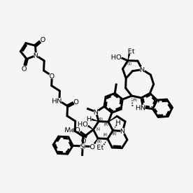 CC[C@]1(O)CC2CN(CCc3c([nH]c4ccccc34)[C@@](C)(c3cc4c(cc3C)N(C)[C@H]3[C@@](O)(C(=O)OC)[C@H](O[Si](C)(CCCCC(=O)NCCOCCN5C(=O)C=CC5=O)c5ccccc5)[C@]5(CC)C=CCN6CC[C@]43[C@@H]65)C2)C1